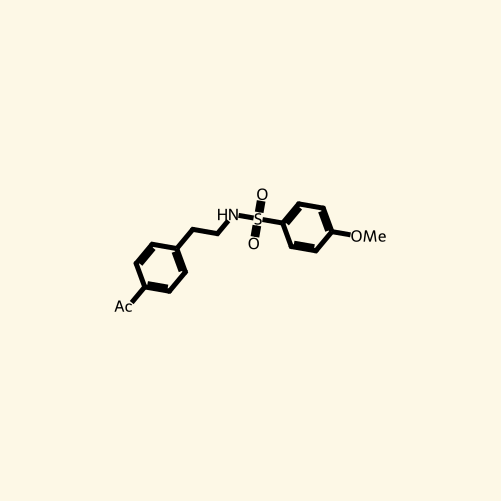 COc1ccc(S(=O)(=O)NCCc2ccc(C(C)=O)cc2)cc1